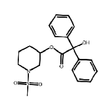 CS(=O)(=O)N1CCCC(OC(=O)C(O)(c2ccccc2)c2ccccc2)C1